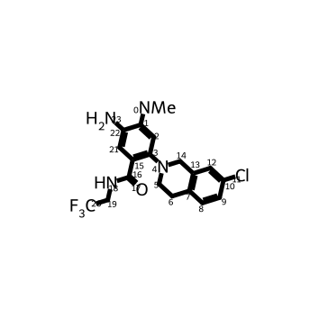 CNc1cc(N2CCc3ccc(Cl)cc3C2)c(C(=O)NCC(F)(F)F)cc1N